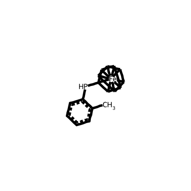 Cc1ccccc1P[C]12[CH]3[CH]4[CH]5[CH]1[Fe]45321678[CH]2[CH]1[CH]6[CH]7[CH]28